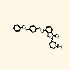 O=C1c2cccc(OCc3ccc(COc4ccccc4)cc3)c2CN1C1CCCNC1